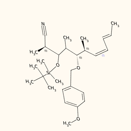 CC=C/C=C\[C@H](C)[C@H](OCc1ccc(OC)cc1)C(C)C(O[Si](C)(C)C(C)(C)C)[C@@H](C)C#N